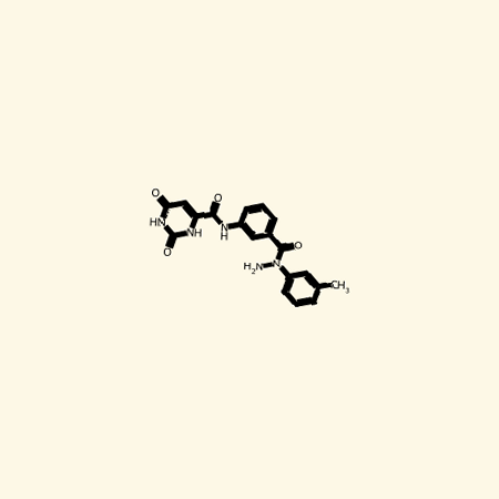 Cc1cccc(N(N)C(=O)c2cccc(NC(=O)c3cc(=O)[nH]c(=O)[nH]3)c2)c1